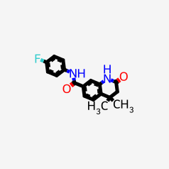 CC1(C)CC(=O)Nc2cc(C(=O)Nc3ccc(F)cc3)ccc21